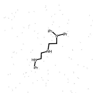 CC(C)NCCNCCN(C(C)C)C(C)C